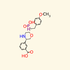 COc1ccc(CC([C@H]2CN[C@H](c3cccc(C(=O)O)c3)CO2)[PH](=O)O)cc1